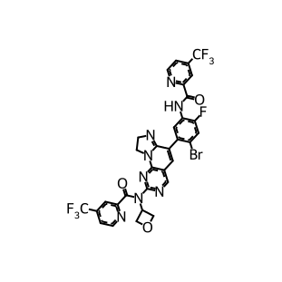 O=C(Nc1cc(C2=Cc3cnc(N(C(=O)c4cc(C(F)(F)F)ccn4)C4COC4)nc3N3CCN=C23)c(Br)cc1F)c1cc(C(F)(F)F)ccn1